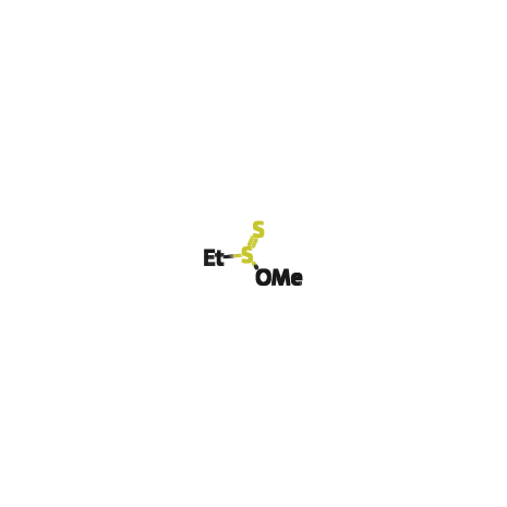 CCS(=S)OC